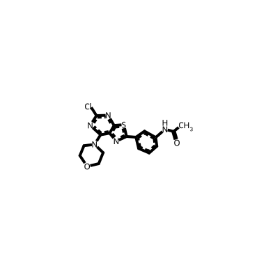 CC(=O)Nc1cccc(-c2nc3c(N4CCOCC4)nc(Cl)nc3s2)c1